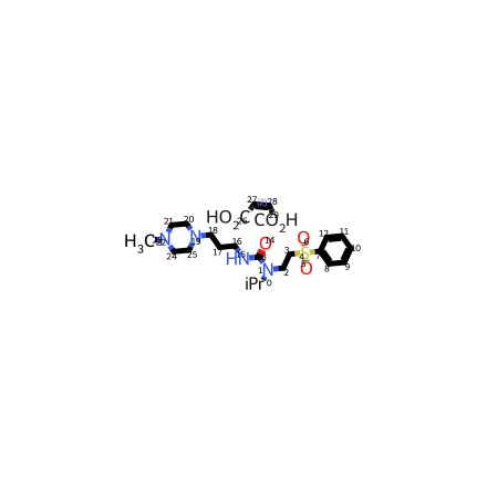 CC(C)N(CCS(=O)(=O)c1ccccc1)C(=O)NCCCN1CCN(C)CC1.O=C(O)/C=C\C(=O)O